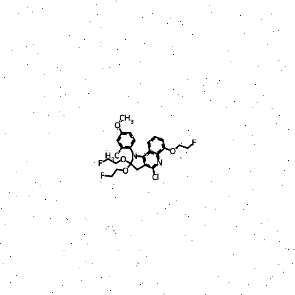 COc1ccc(N2c3c(c(Cl)nc4c(OCCF)cccc34)CC2(OCCF)OCCF)c(C)c1